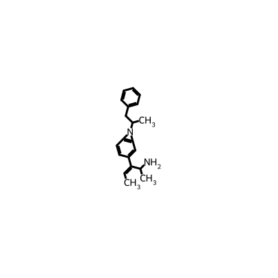 C/C=C(/c1ccc2c(c1)N2C(C)Cc1ccccc1)C(C)N